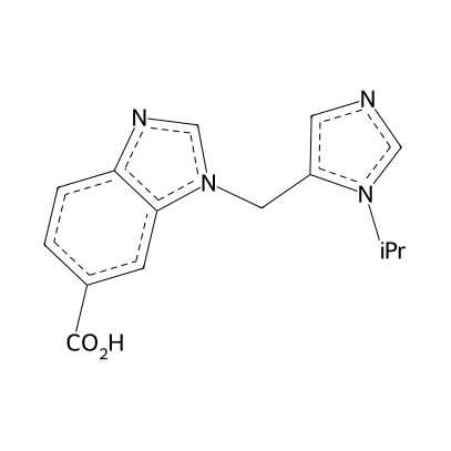 CC(C)n1cncc1Cn1cnc2ccc(C(=O)O)cc21